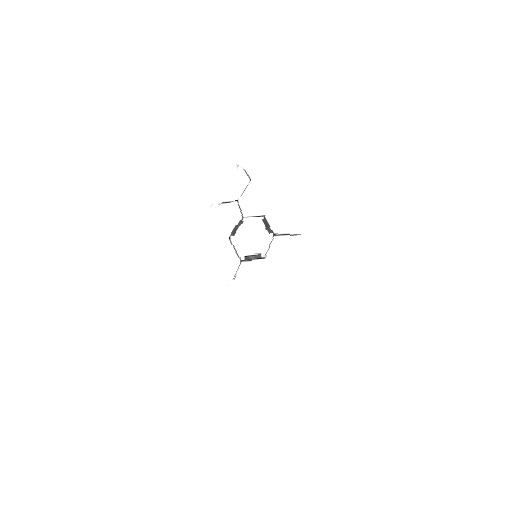 OCC(O)c1cc(F)cc(C(F)(F)F)c1